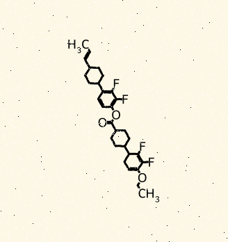 C/C=C/C1CCC(c2ccc(OC(=O)C3CCC(C4CC=C(OCC)C(F)=C4F)CC3)c(F)c2F)CC1